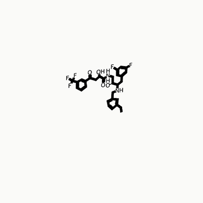 CCc1cccc(CNC(Cc2cc(F)cc(F)c2)[C@H](O)CNC(=O)C(O)CC(=O)c2cccc(C(F)(F)F)c2)c1